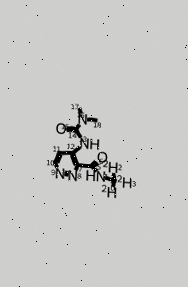 [2H]C([2H])([2H])NC(=O)c1nnccc1NC(=O)N(C)C